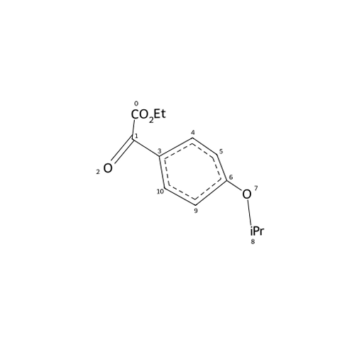 CCOC(=O)C(=O)c1ccc(OC(C)C)cc1